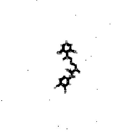 CN(CCCN(C)c1c(Cl)cncc1Cl)C(=O)Nc1ccc(F)c(Cl)c1